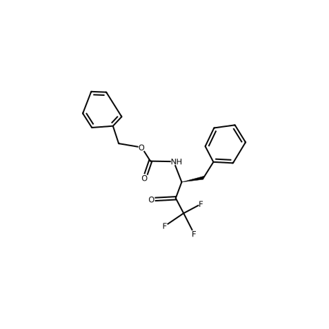 O=C(N[C@@H](Cc1ccccc1)C(=O)C(F)(F)F)OCc1ccccc1